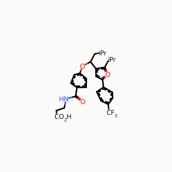 CC(C)CC(Oc1ccc(C(=O)NCCC(=O)O)cc1)c1cc(-c2ccc(C(F)(F)F)cc2)oc1C(C)C